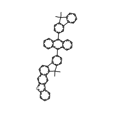 CC1(C)c2ccccc2-c2cc(-c3c4ccccc4c(-c4ccc5c(c4)-c4ccc6cc7sc8ccccc8c7cc6c4C5(C)C)c4ccccc34)ccc21